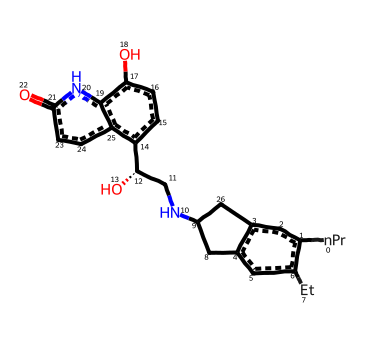 CCCc1cc2c(cc1CC)CC(NC[C@H](O)c1ccc(O)c3[nH]c(=O)ccc13)C2